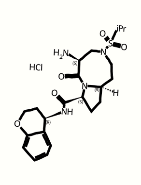 CC(C)S(=O)(=O)N1CC[C@H]2CC[C@@H](C(=O)N[C@@H]3CCOc4ccccc43)N2C(=O)[C@@H](N)C1.Cl